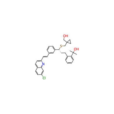 CC(C)(O)c1ccccc1CC[C@@H](SCC1(CO)CC1)c1cccc(C=Cc2ccc3ccc(Cl)cc3n2)c1